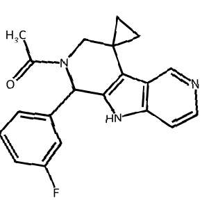 CC(=O)N1CC2(CC2)c2c([nH]c3ccncc23)C1c1cccc(F)c1